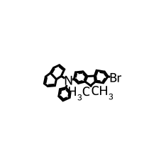 CC1(C)c2cc(Br)ccc2-c2ccc(N(c3ccccc3)C3C=CC=C4C=CC=CC43)cc21